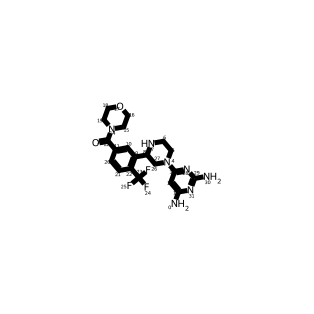 Nc1cc(N2CCNC(c3cc(C(=O)N4CCOCC4)ccc3C(F)(F)F)C2)nc(N)n1